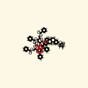 C[C@]12CC[C@@H]3c4ccc(OS(=O)(=O)C(F)(F)F)cc4CC[C@H]3[C@@H]1CC[C@@H]2OC1OC(COC(=O)c2ccccc2)C(OC(=O)c2ccccc2)C(OC2OC(COC(=O)c3ccccc3)C(OC(=O)c3ccccc3)C(OC(=O)c3ccccc3)C2OC(=O)c2ccccc2)C1OC(=O)c1ccccc1